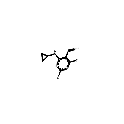 N=Cc1c(Cl)nc(Cl)nc1NC1CC1